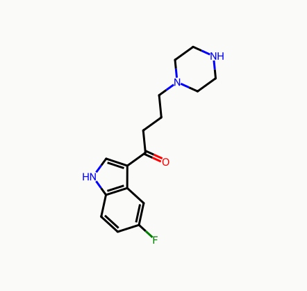 O=C(CCCN1CCNCC1)c1c[nH]c2ccc(F)cc12